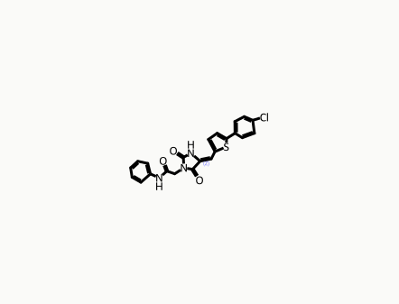 O=C(CN1C(=O)N/C(=C\c2ccc(-c3ccc(Cl)cc3)s2)C1=O)Nc1ccccc1